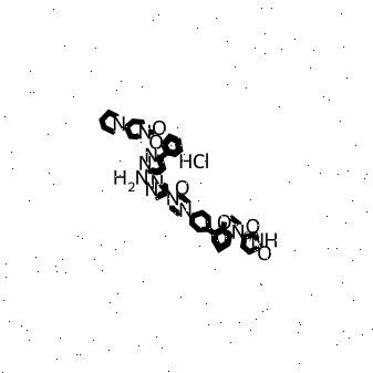 Cl.Nc1nnc(-c2ccccc2OC(=O)N2CCC(N3CCCCC3)CC2)cc1-n1cc(N2CCN(C3CCC(c4cccc5c4OCCN5[C@H]4CCC(=O)NC4=O)CC3)CC2=O)cn1